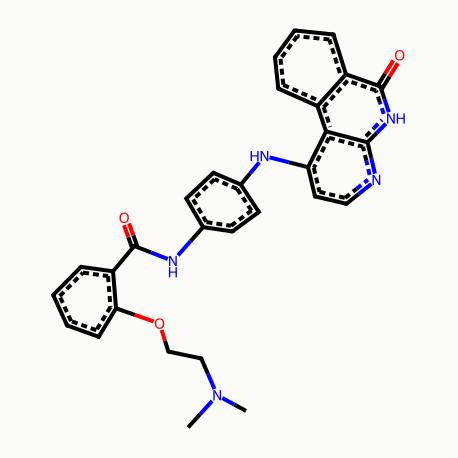 CN(C)CCOc1ccccc1C(=O)Nc1ccc(Nc2ccnc3[nH]c(=O)c4ccccc4c23)cc1